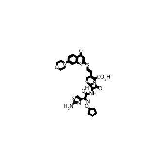 Nc1nc(C(=NOC2CCCC2)C(=O)NC2C(=O)N3C(C(=O)O)=C(C=CSc4cc(=O)c5ccc(N6CCOCC6)cc5s4)CS[C@@H]23)cs1